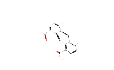 Cc1ccc(C(=O)O)c2cc3c(C(=O)O)ccc(S)c3cc12